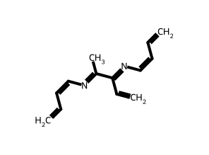 C=C\C=C/N=C(C)/C(C=C)=N/C=C\C=C